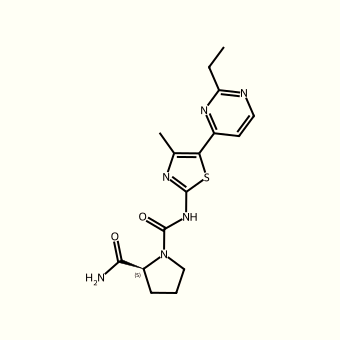 CCc1nccc(-c2sc(NC(=O)N3CCC[C@H]3C(N)=O)nc2C)n1